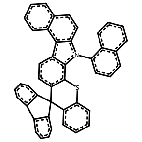 c1ccc2c(c1)Sc1c(ccc3c4c5ccccc5ccc4n(-c4cccc5ccccc45)c13)C21c2ccccc2-c2ccccc21